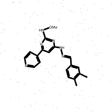 CONc1nc(N/N=C/c2ccc(C)c(C)c2)cc(-c2ccncc2)n1